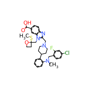 CSC1(Cn2c(CN3CCC(c4ccccc4N(C)Cc4ccc(Cl)cc4F)CC3)nc3ccc(C(=O)O)cc32)CCO1